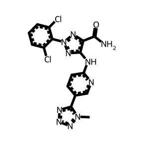 Cn1nnnc1-c1ccc(Nc2nn(-c3c(Cl)cccc3Cl)nc2C(N)=O)nc1